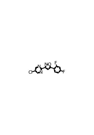 Fc1ccc(-c2cc(-c3ncc(Cl)cn3)no2)c(F)c1